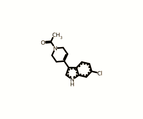 CC(=O)N1CC=C(c2c[nH]c3cc(Cl)ccc23)CC1